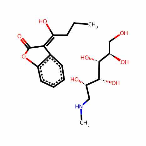 CCC/C(O)=C1/C(=O)Oc2ccccc21.CNC[C@H](O)[C@@H](O)[C@H](O)[C@H](O)CO